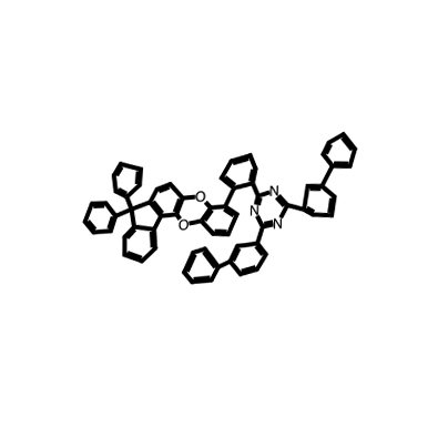 c1ccc(-c2cccc(-c3nc(-c4cccc(-c5ccccc5)c4)nc(-c4ccccc4-c4cccc5c4Oc4ccc6c(c4O5)-c4ccccc4C6(c4ccccc4)c4ccccc4)n3)c2)cc1